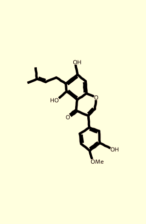 COc1ccc(-c2coc3cc(O)c(CC=C(C)C)c(O)c3c2=O)cc1O